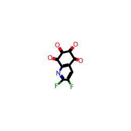 O=c1c(=O)c(=O)c2nc(F)c(F)cc2c1=O